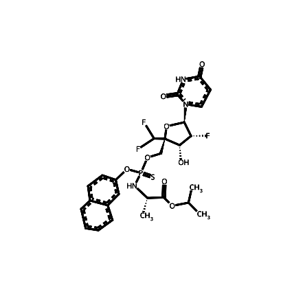 CC(C)OC(=O)[C@H](C)NP(=S)(OC[C@@]1(C(F)F)O[C@@H](n2ccc(=O)[nH]c2=O)[C@H](F)[C@@H]1O)Oc1ccc2ccccc2c1